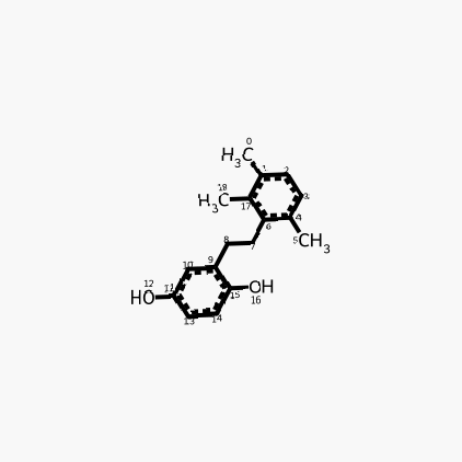 Cc1ccc(C)c(CCc2cc(O)ccc2O)c1C